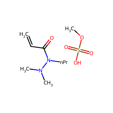 C=CC(=O)N(CCC)N(C)C.COS(=O)(=O)O